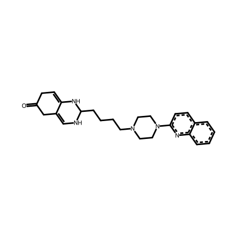 O=C1CC=C2NC(CCCCN3CCN(c4ccc5ccccc5n4)CC3)NC=C2C1